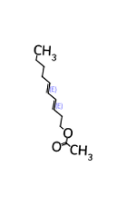 CCCC/C=C/C=C/CCOC(C)=O